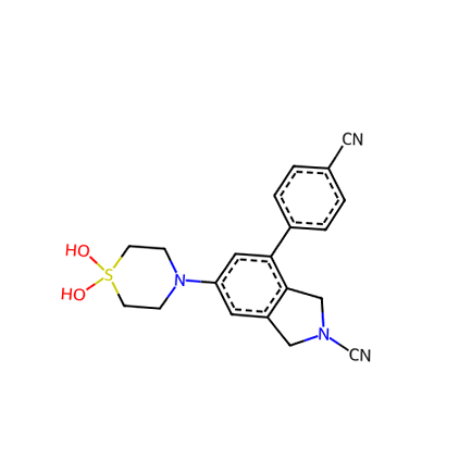 N#Cc1ccc(-c2cc(N3CCS(O)(O)CC3)cc3c2CN(C#N)C3)cc1